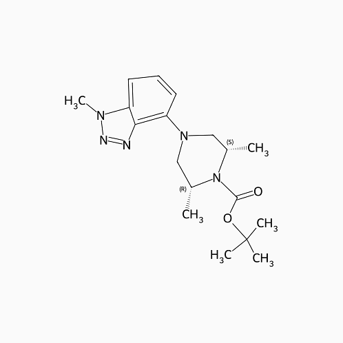 C[C@@H]1CN(c2cccc3c2nnn3C)C[C@H](C)N1C(=O)OC(C)(C)C